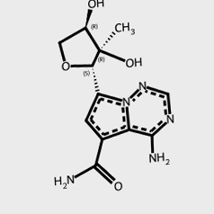 C[C@@]1(O)[C@H](O)CO[C@H]1c1cc(C(N)=O)c2c(N)ncnn12